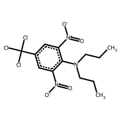 CCCN(CCC)c1c([N+](=O)[O-])cc(C(Cl)(Cl)Cl)cc1[N+](=O)[O-]